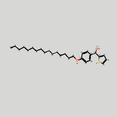 CCCCCCCCCCCCCCCCOc1ccc(C(O)c2cccs2)cc1